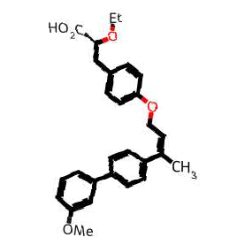 CCO[C@@H](Cc1ccc(OC/C=C(/C)c2ccc(-c3cccc(OC)c3)cc2)cc1)C(=O)O